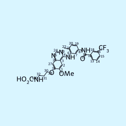 COc1cc2c(Nc3cc(NC(=O)c4cccc(C(F)(F)F)c4)ccc3C)ncnc2cc1OCCCNC(=O)O